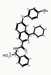 CC(C)(C)c1ccc(Oc2ccc3cc(C(=O)N[C@H](C(=O)O)c4ccccc4)nc(C4CCCCC4)c3c2)cc1